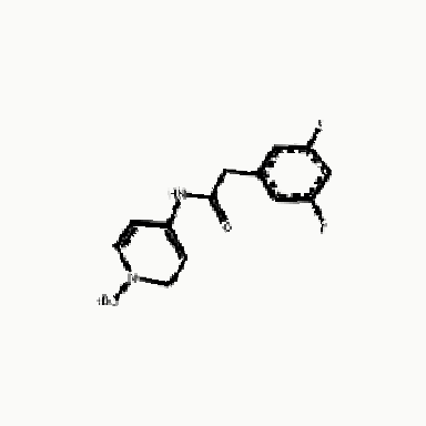 CC(C)(C)N1C=CC(NC(=O)Cc2cc(F)cc(F)c2)=CC1